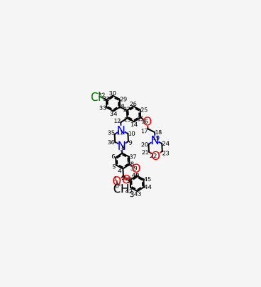 COC(=O)c1ccc(N2CCN(Cc3cc(OCCN4CCOCC4)ccc3-c3ccc(Cl)cc3)CC2)cc1Oc1ccccc1